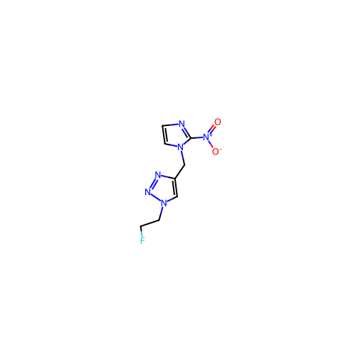 O=[N+]([O-])c1nccn1Cc1cn(CCF)nn1